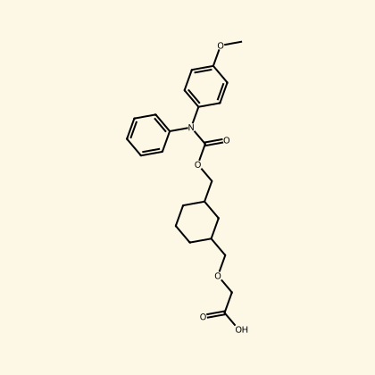 COc1ccc(N(C(=O)OCC2CCCC(COCC(=O)O)C2)c2ccccc2)cc1